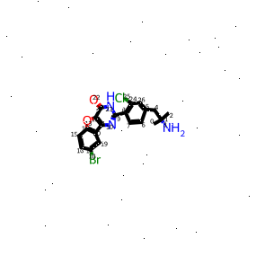 CC(C)(N)Cc1ccc(-c2nc3c(oc4ccc(Br)cc43)c(=O)[nH]2)c(Cl)c1